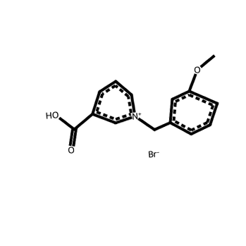 COc1cccc(C[n+]2cccc(C(=O)O)c2)c1.[Br-]